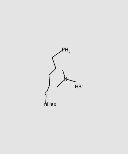 Br.CCCCCCCCCCCP.CN(C)C